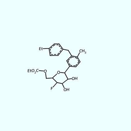 CCOC(=O)OCC1OC(c2ccc(C)c(Cc3ccc(CC)cc3)c2)C(O)C(O)C1F